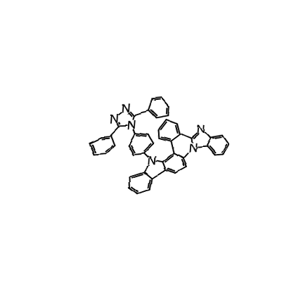 c1ccc(-c2nnc(-c3ccccc3)n2-c2ccc(-n3c4ccccc4c4ccc5c(c6ccccc6c6nc7ccccc7n56)c43)cc2)cc1